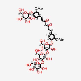 COc1cc(/C=C/C(=O)CC(=O)CCc2ccc(O[C@@H]3O[C@H](CO)[C@@H](O)[C@H](O[C@@H]4O[C@H](CO)[C@@H](O)[C@H](O[C@@H]5O[C@H](CO)[C@@H](O)[C@H](O)[C@H]5O)[C@H]4O)[C@H]3O)c(OC)c2)ccc1O[C@@H]1O[C@H](CO)[C@@H](O)[C@H](O)[C@H]1O